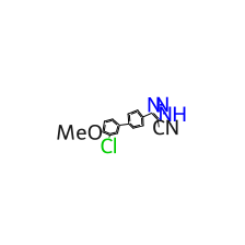 COc1ccc(-c2ccc(-c3nn[nH]c3C#N)cc2)cc1Cl